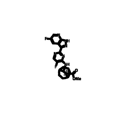 COC(=O)[C@H]1C2CCCC(CC2)C1Nc1nc(-c2n[nH]c3ncc(F)cc23)ncc1F